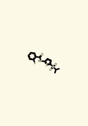 CC(C)S(=O)(=O)c1ccc(NC(=O)c2ccccc2F)s1